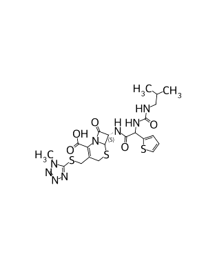 CC(C)CNC(=O)NC(C(=O)N[C@H]1C(=O)N2C(C(=O)O)=C(CSc3nnnn3C)CSC12)c1cccs1